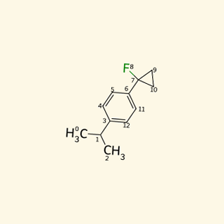 CC(C)c1ccc(C2(F)CC2)cc1